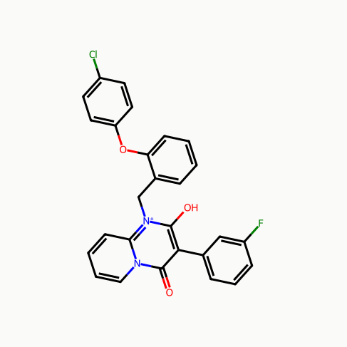 O=c1c(-c2cccc(F)c2)c(O)[n+](Cc2ccccc2Oc2ccc(Cl)cc2)c2ccccn12